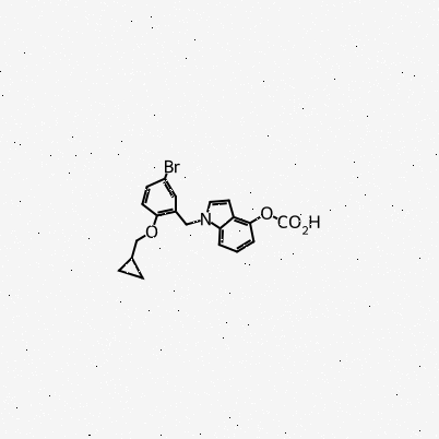 O=C(O)Oc1cccc2c1ccn2Cc1cc(Br)ccc1OCC1CC1